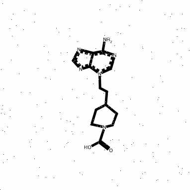 Nc1ncn(CCC2CCN(C(=O)O)CC2)c2ncnc1-2